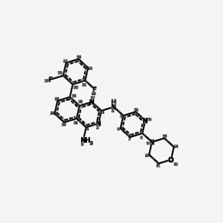 Nc1nc(Nc2ccc(N3CCOCC3)nc2)nc2c(-c3c(F)cccc3F)cccc12